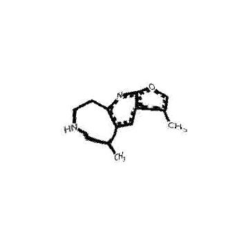 Cc1coc2nc3c(cc12)C(C)CNCC3